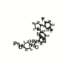 CC(C)ON1CCN(C(=O)Nc2cnn3ccc(N4CCCC4c4cc(F)ccc4F)nc23)CC1